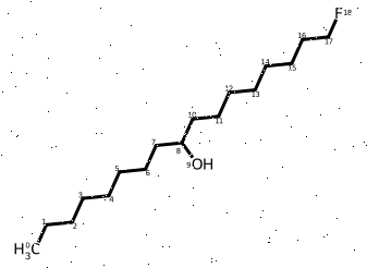 CCCCCCCCC(O)CCCCCCCCF